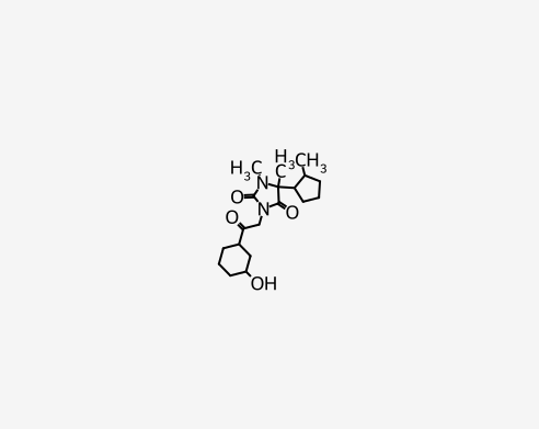 CC1CCCC1C1(C)C(=O)N(CC(=O)C2CCCC(O)C2)C(=O)N1C